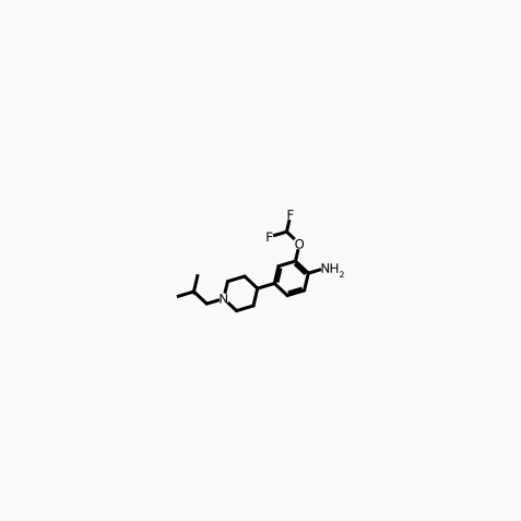 C[C](C)CN1CCC(c2ccc(N)c(OC(F)F)c2)CC1